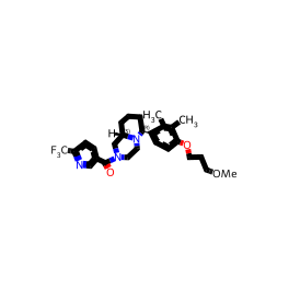 COCCCOc1ccc([C@H]2CCC[C@H]3CN(C(=O)c4ccc(C(F)(F)F)nc4)CCN32)c(C)c1C